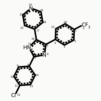 FC(F)(F)c1ccc(-c2nc(-c3ccc(Cl)cc3)[nH]c2-c2ccncc2)cc1